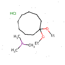 CCOC1(OCC)CCCCCCCC1.CP(C)C.Cl